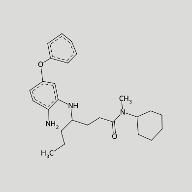 CCCC(CCC(=O)N(C)C1CCCCC1)Nc1cc(Oc2ccccc2)ccc1N